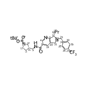 CC(C)C1c2ncc(C(=O)NCC3CCN(C(=O)OC(C)(C)C)C3)cc2CN1Cc1ccc(C(F)(F)F)cc1